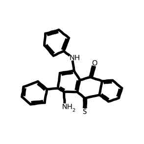 Nc1c(-c2ccccc2)cc(Nc2ccccc2)c2c1C(=S)c1ccccc1C2=O